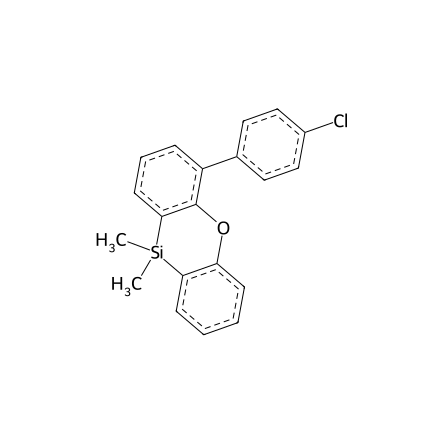 C[Si]1(C)c2ccccc2Oc2c(-c3ccc(Cl)cc3)cccc21